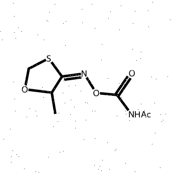 CC(=O)NC(=O)ON=C1SCOC1C